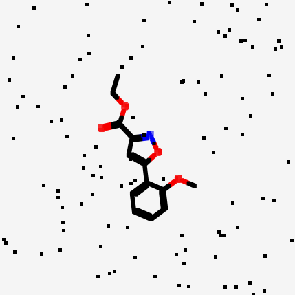 CCOC(=O)c1cc(-c2ccccc2OC)on1